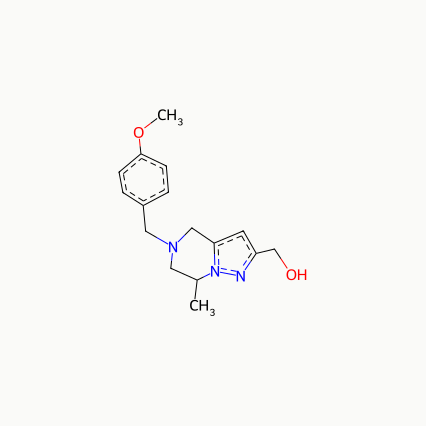 COc1ccc(CN2Cc3cc(CO)nn3C(C)C2)cc1